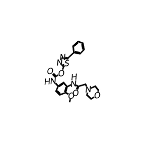 COc1ccc(NC(=O)Oc2nnc(-c3ccccc3)s2)cc1NC(=O)CN1CCOCC1